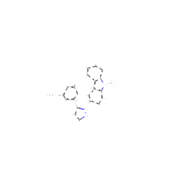 CCn1c2ccccc2c2cc(-n3nccc3-c3cccc(OC)c3)ccc21